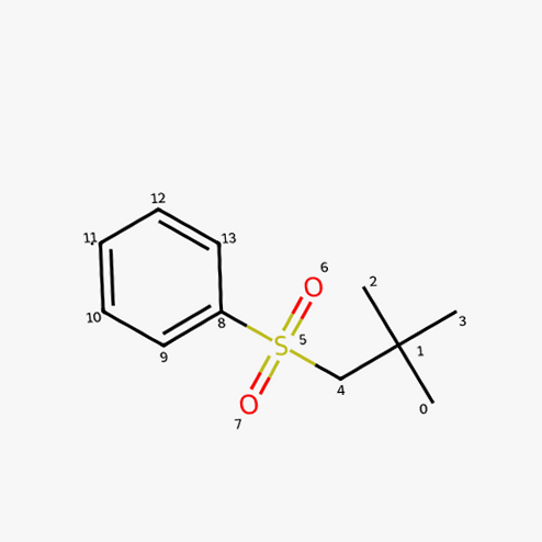 CC(C)(C)CS(=O)(=O)c1cc[c]cc1